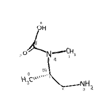 C[C@@H](CN)N(C)C(=O)O